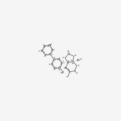 CC1=N[C@@]2(c3cc(-c4cncnc4)ccc3F)COC[C@H]2CS1